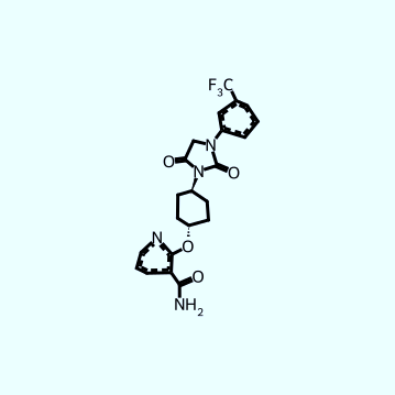 NC(=O)c1cccnc1O[C@H]1CC[C@H](N2C(=O)CN(c3cccc(C(F)(F)F)c3)C2=O)CC1